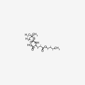 CCCCOC(=O)CCC(NC(=O)OC(C)(C)C)C(=O)O